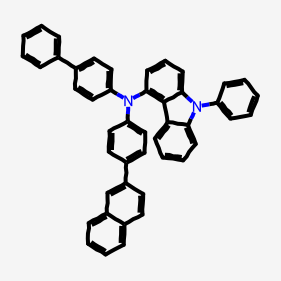 c1ccc(-c2ccc(N(c3ccc(-c4ccc5ccccc5c4)cc3)c3cccc4c3c3ccccc3n4-c3ccccc3)cc2)cc1